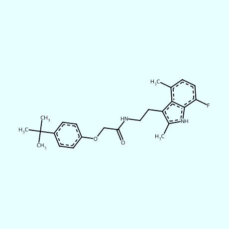 Cc1[nH]c2c(F)ccc(C)c2c1CCNC(=O)COc1ccc(C(C)(C)C)cc1